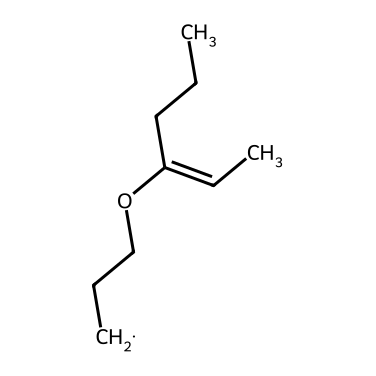 [CH2]CCOC(=CC)CCC